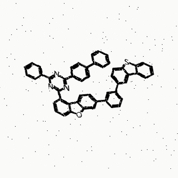 c1ccc(-c2ccc(-c3nc(-c4ccccc4)nc(-c4cccc5oc6cc(-c7cccc(-c8ccc9sc%10ccccc%10c9c8)c7)ccc6c45)n3)cc2)cc1